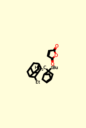 CC(C)(C)C1(C(=O)O)CC2=CCC1C2.CC[C]1C2CC3CC(C2)CC1C3.O=C1C=CC(=O)O1